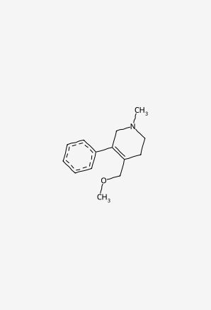 COCC1=C(c2ccccc2)CN(C)CC1